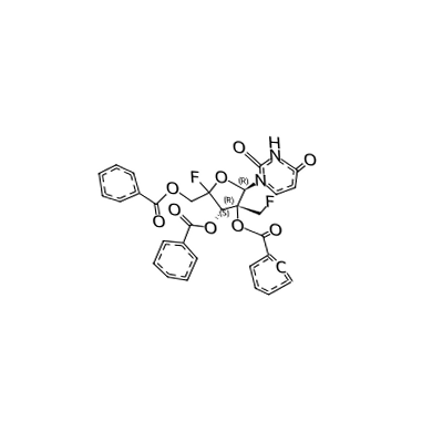 O=C(OCC1(F)O[C@@H](n2ccc(=O)[nH]c2=O)[C@](CF)(OC(=O)c2ccccc2)[C@@H]1OC(=O)c1ccccc1)c1ccccc1